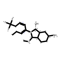 CC/C=C(\C=C/CC(F)(F)F)N1C(OC)C2CCC(N)CC2[C@H]1O